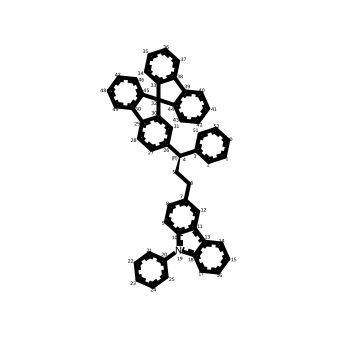 c1ccc([C@@H](CCc2ccc3c(c2)c2ccccc2n3-c2ccccc2)c2ccc3c(c2)C2(c4ccccc4-c4ccccc42)c2ccccc2-3)cc1